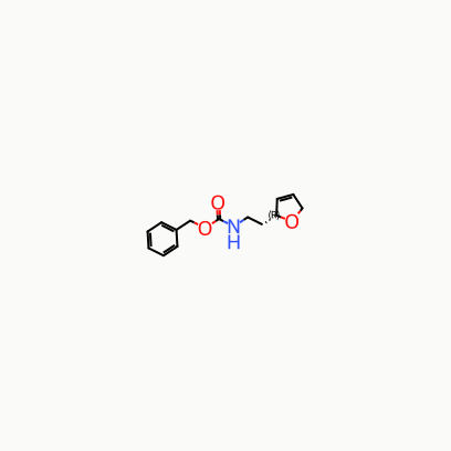 O=C(NCC[C@@H]1C=CCO1)OCc1ccccc1